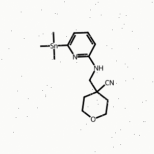 [CH3][Sn]([CH3])([CH3])[c]1cccc(NCC2(C#N)CCOCC2)n1